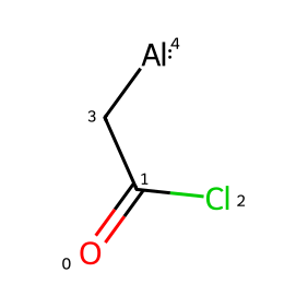 O=C(Cl)[CH2][Al]